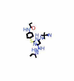 C=C/C(C)=N\NNC1=NC(Sc2ccc(NC(=O)CC)cc2)NC(N2CC(C)(C#N)C2)=C1